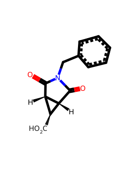 O=C(O)[C@@H]1[C@H]2C(=O)N(Cc3ccccc3)C(=O)[C@@H]12